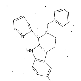 Clc1ccc2[nH]c3c(c2c1)CCN(Cc1ccccc1)C3c1ccccn1